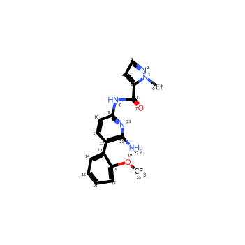 CCn1nccc1C(=O)Nc1ccc(-c2ccccc2OC(F)(F)F)c(N)n1